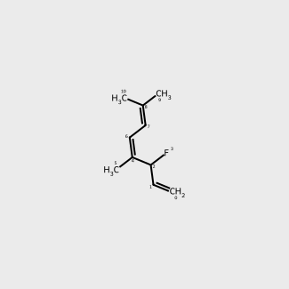 C=CC(F)/C(C)=C\C=C(C)C